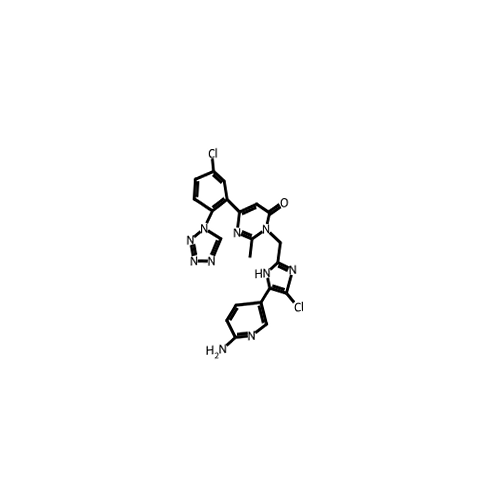 Cc1nc(-c2cc(Cl)ccc2-n2cnnn2)cc(=O)n1Cc1nc(Cl)c(-c2ccc(N)nc2)[nH]1